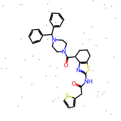 O=C(Cc1cccs1)Nc1nc2c(s1)CCCC2C(=O)N1CCN(C(c2ccccc2)c2ccccc2)CC1